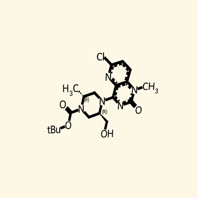 C[C@@H]1CN(c2nc(=O)n(C)c3ccc(Cl)nc23)[C@@H](CO)CN1C(=O)OC(C)(C)C